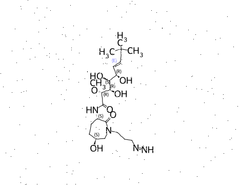 CO[C@@H](C(=O)N[C@H]1CC[C@H](O)CN(CCCN=N)C1=O)[C@H](O)[C@@H](O)[C@H](O)/C=C/C(C)(C)C